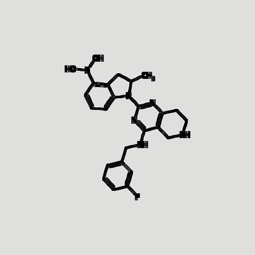 CC1Cc2c(B(O)O)cccc2N1c1nc2c(c(NCc3cccc(F)c3)n1)CNCC2